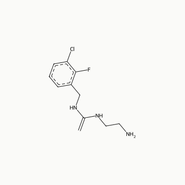 C=C(NCCN)NCc1cccc(Cl)c1F